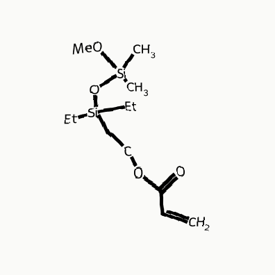 C=CC(=O)OCC[Si](CC)(CC)O[Si](C)(C)OC